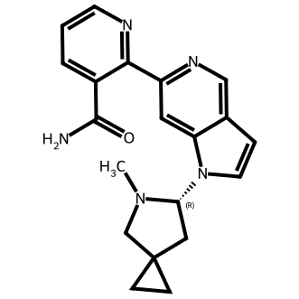 CN1CC2(CC2)C[C@H]1n1ccc2cnc(-c3ncccc3C(N)=O)cc21